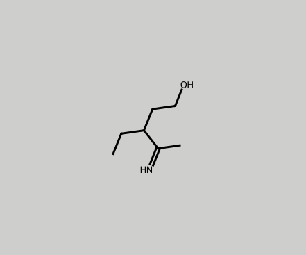 CCC(CCO)C(C)=N